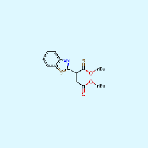 CCCCOC(=O)CC(C(=S)OCCCC)c1nc2ccccc2s1